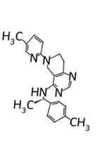 Cc1ccc([C@@H](C)Nc2ncnc3c2CN(c2ccc(C)cn2)CC3)cc1